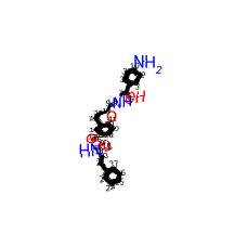 Nc1ccc(C(O)CNCC2CCc3cc(S(=O)(=O)NCCc4ccccc4)ccc3O2)cc1